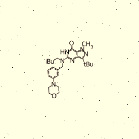 CCC(C)CN(Cc1cccc(N2CCOCC2)c1)c1nc2c(C(C)(C)C)nn(C)c2c(=O)[nH]1